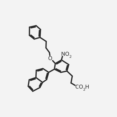 O=C(O)CCc1cc(-c2ccc3ccccc3c2)c(OCCCc2ccccc2)c([N+](=O)[O-])c1